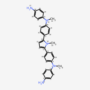 CN(c1ccc(N)cc1)c1ccc(-c2ccc(-c3ccc(N(C)c4ccc(N)cc4)cc3)n2C)cc1